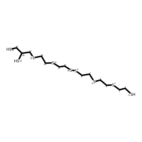 SCCSCCSCCSSCCSCCSCC(S)CS